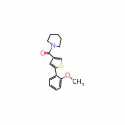 COc1ccccc1-c1cc(C(=O)N2CCCCC2)cs1